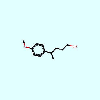 COc1ccc(C(C)CCCO)cc1